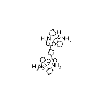 Nc1ccccc1C(S)(COC(=O)c1ccc(C(=O)OCC(S)(c2ccccc2N)c2ccccc2N)cc1)c1ccccc1N